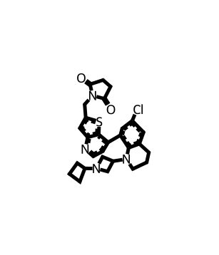 O=C1CCC(=O)N1Cc1cc2nccc(-c3cc(Cl)cc4c3N(C3CN(C5CCC5)C3)CCC4)c2s1